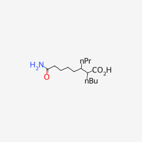 CCCCC(C(=O)O)C(CCC)CCCCC(N)=O